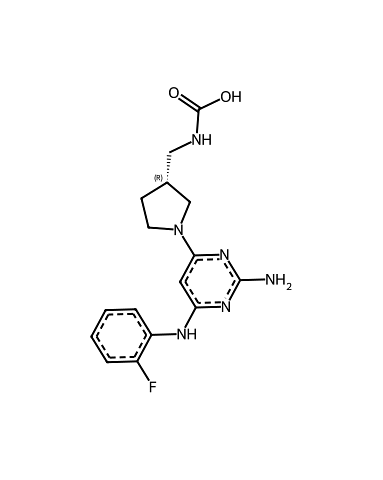 Nc1nc(Nc2ccccc2F)cc(N2CC[C@H](CNC(=O)O)C2)n1